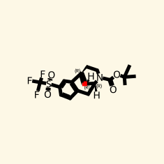 CC(C)(C)OC(=O)N1CC[C@]23CCCC[C@H]2[C@H]1Cc1ccc(S(=O)(=O)C(F)(F)F)cc13